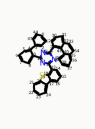 c1ccc(-c2ccccc2-c2nc(-c3cccc4c3sc3ccccc34)nc(-c3cccc4ccc5ccccc5c34)n2)cc1